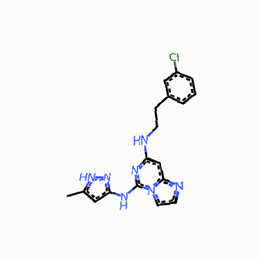 Cc1cc(Nc2nc(NCCc3cccc(Cl)c3)cc3nccn23)n[nH]1